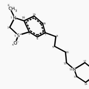 CN1C[S+]([O-])c2cc(CCCCN3CCOCC3)ccc21